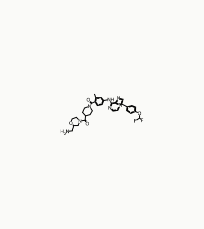 Cc1cc(Nc2nccn3c(-c4ccc(OC(F)F)cc4)cnc23)ccc1C(=O)N1CCC(C(=O)N2CCOC(CN)C2)CC1